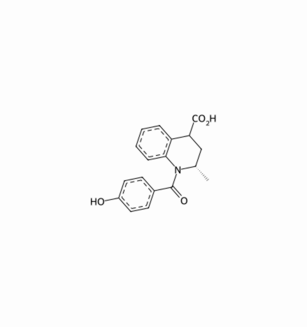 C[C@H]1CC(C(=O)O)c2ccccc2N1C(=O)c1ccc(O)cc1